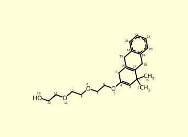 CC1(C)C=C(OCCOCCOCCO)CC2=C1Cc1ccccc1C2